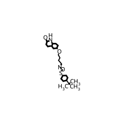 CC(C)(C)c1ccc(SON=CCCCOc2ccc3[nH]c(=O)ccc3c2)cc1